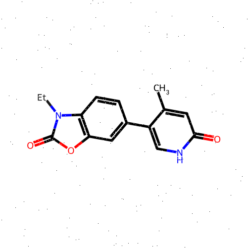 CCn1c(=O)oc2cc(-c3c[nH]c(=O)cc3C)ccc21